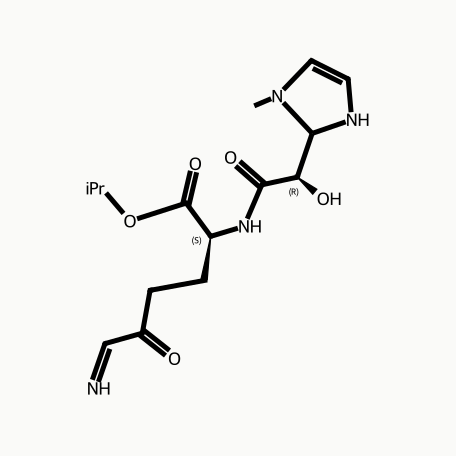 CC(C)OC(=O)[C@H](CCC(=O)C=N)NC(=O)[C@H](O)C1NC=CN1C